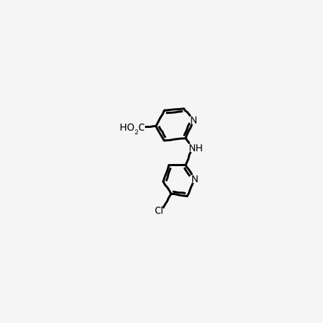 O=C(O)c1ccnc(Nc2ccc(Cl)cn2)c1